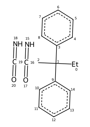 CCC(C)(c1ccccc1)c1ccccc1.N=C=O.N=C=O